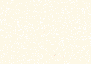 CCCCCCCC(CCCCCCC)OC(=O)CCCC(S)CCCC(=O)O